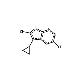 Clc1cc2c(C3CC3)c(Cl)sc2nn1